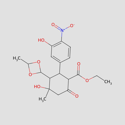 CCOC(=O)C1C(=O)CC(C)(O)C(C2OC(C)O2)C1c1ccc([N+](=O)[O-])c(O)c1